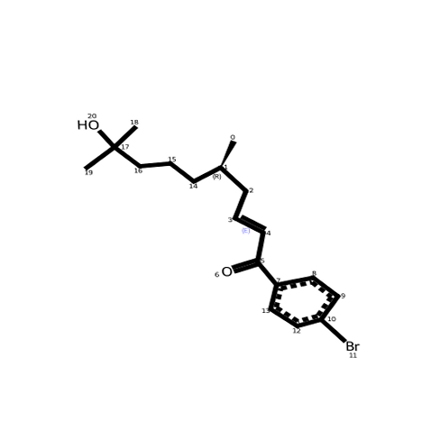 C[C@@H](C/C=C/C(=O)c1ccc(Br)cc1)CCCC(C)(C)O